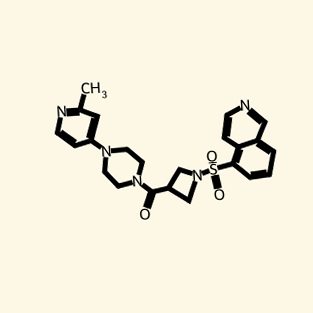 Cc1cc(N2CCN(C(=O)C3CN(S(=O)(=O)c4cccc5cnccc45)C3)CC2)ccn1